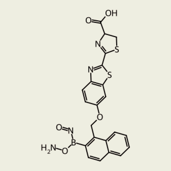 NOB(N=O)c1ccc2ccccc2c1COc1ccc2nc(C3=NC(C(=O)O)CS3)sc2c1